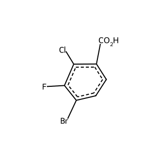 O=C(O)c1ccc(Br)c(F)c1Cl